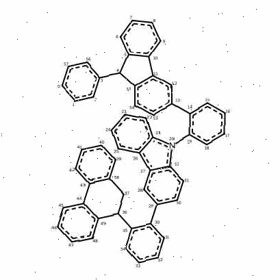 c1ccc(C2c3ccccc3-c3cc(-c4ccccc4-n4c5ccccc5c5cc(-c6ccccc6C6Cc7ccccc7-c7ccccc76)ccc54)ccc32)cc1